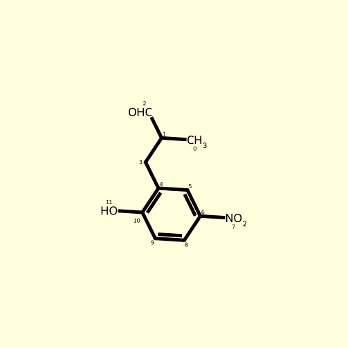 CC(C=O)Cc1cc([N+](=O)[O-])ccc1O